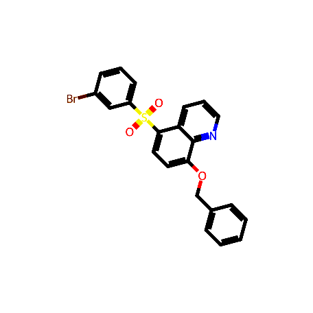 O=S(=O)(c1cccc(Br)c1)c1ccc(OCc2ccccc2)c2ncccc12